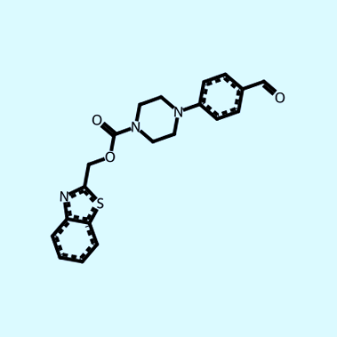 O=Cc1ccc(N2CCN(C(=O)OCc3nc4ccccc4s3)CC2)cc1